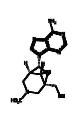 Nc1ncnc2c1ncn2[C@@H]1O[C@@]2(CO)CN(C(=O)O)C[C@@H]1[C@@H]2O